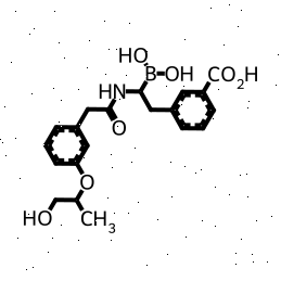 CC(CO)Oc1cccc(CC(=O)NC(Cc2cccc(C(=O)O)c2)B(O)O)c1